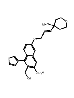 COC1(C=CCOc2ccc3c(-c4ccsc4)c(CO)c(C(=O)O)cc3c2)CCOCC1